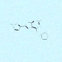 CCOC(=O)c1nc(N[C@@H]2CC[C@H](OC)C2)c2cc(-c3ccn(C(C)C)n3)sc2n1